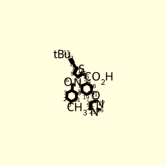 CC1CCC(C(=O)N(c2cc(C#CC(C)(C)C)sc2C(=O)O)C2CCC(Oc3ccncn3)CC2)CC1